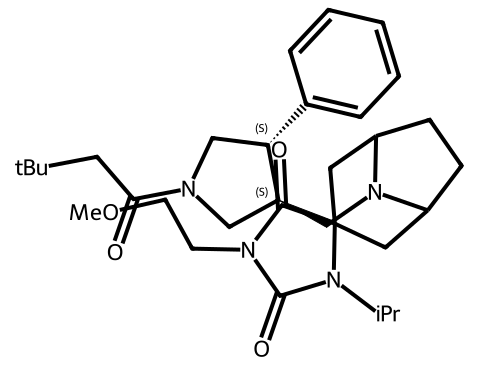 COCCN1C(=O)N(C(C)C)C2(CC3CCC(C2)N3C[C@H]2CN(C(=O)CC(C)(C)C)C[C@@H]2c2ccccc2)C1=O